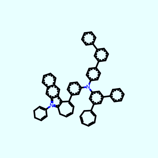 C1=CC=C(c2cc(-c3ccccc3)cc(N(c3ccc(-c4cccc(-c5ccccc5)c4)cc3)c3cccc(C4=CC=CCc5c4c4cc6ccccc6cc4n5C4=CCCC=C4)c3)c2)CC=C1